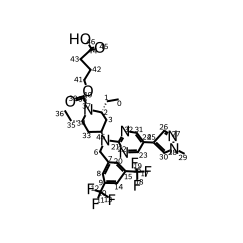 CC[C@@H]1C[C@H](N(Cc2cc(C(F)(F)F)cc(C(F)(F)F)c2)c2ncc(-c3cnn(C)c3)cn2)C[C@H](CC)N1C(=O)OCCCC(=O)O